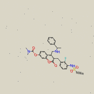 CNS(=O)(=O)Nc1cccc(Cc2c(CNC(C)c3ccccc3)c3ccc(OC(=O)N(C)C)cc3oc2=O)c1F